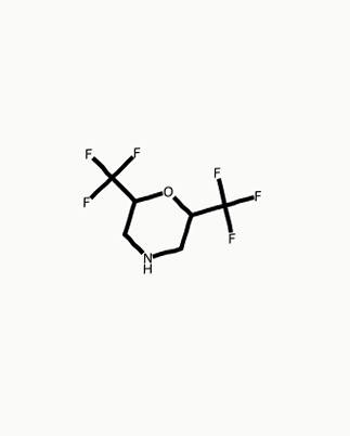 FC(F)(F)C1CNCC(C(F)(F)F)O1